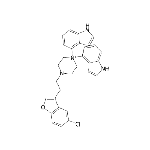 Clc1ccc2occ(CCN3CC[N+](c4cccc5[nH]ccc45)(c4cccc5[nH]ccc45)CC3)c2c1